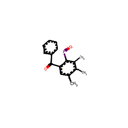 Cc1cc(C(=O)c2ccccc2)c(P=O)c(C)c1C